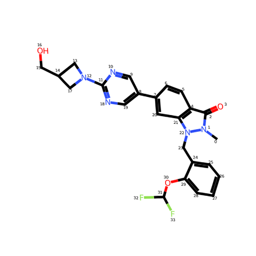 Cn1c(=O)c2ccc(-c3cnc(N4CC(CO)C4)nc3)cc2n1Cc1ccccc1OC(F)F